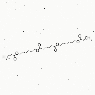 C=CC(=O)OCCCCCCOC(=O)CCCCC(=O)OCCCCCCOC(=O)C=C